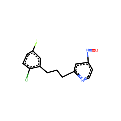 O=Nc1ccnc(CCCc2cc(F)ccc2Cl)c1